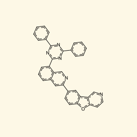 c1ccc(-c2nc(-c3ccccc3)nc(-c3cccc4cc(-c5ccc6oc7ccncc7c6c5)ncc34)n2)cc1